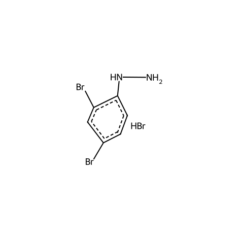 Br.NNc1ccc(Br)cc1Br